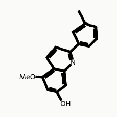 COc1cc(O)cc2nc(-c3cccc(C)c3)ccc12